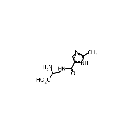 Cc1ncc(C(=O)NCC(N)C(=O)O)[nH]1